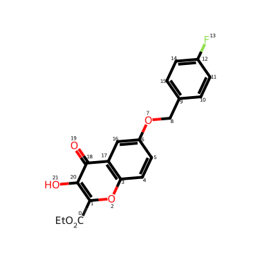 CCOC(=O)c1oc2ccc(OCc3ccc(F)cc3)cc2c(=O)c1O